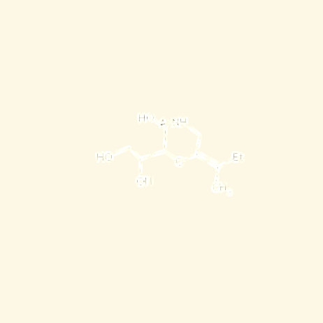 CC/C(C)=C(\CNC(C)=O)OC(CO)C(O)CO